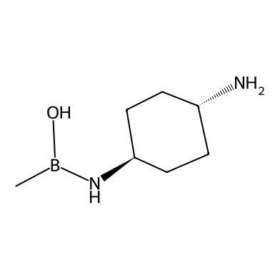 CB(O)N[C@H]1CC[C@H](N)CC1